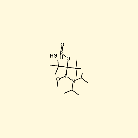 COP(N(C(C)C)C(C)C)C(O[PH](=O)O)(C(C)(C)C)C(C)(C)C